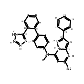 CCc1cc(N(C)c2ccc(-c3ccccc3-c3nnn[nH]3)cc2)n2nc(-c3ccccc3)cc2n1